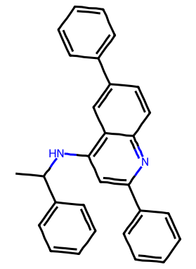 CC(Nc1cc(-c2ccccc2)nc2ccc(-c3ccccc3)cc12)c1ccccc1